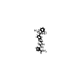 Cc1cccc(Cl)c1NC(=O)c1ccc2nc(NC(=O)NC3C4C=CC(C4)C3C(N)=O)sc2c1